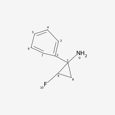 NC1(c2ccccc2)CC1F